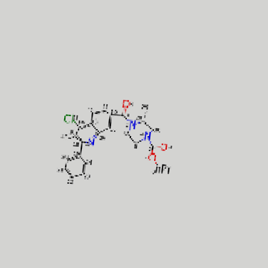 CCCOC(=O)N1CCN(C(=O)c2ccc3c(Cl)c(C)c(-c4ccccc4)nc3c2)[C@H](C)C1